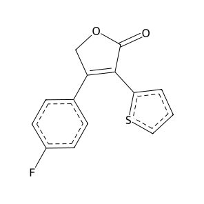 O=C1OCC(c2ccc(F)cc2)=C1c1cccs1